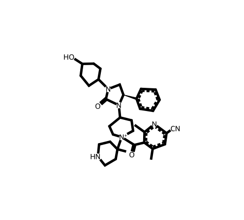 Cc1cc(C#N)nc(C)c1C(=O)[N+]1(C2(C)CCNCC2)CCC(N2C(=O)N(C3CCC(O)CC3)C[C@H]2c2ccccc2)CC1